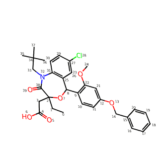 CCC1(CC(=O)O)OC(c2ccc(OCc3ccccc3)cc2OC)c2cc(Cl)ccc2N(CC(C)(C)C)C1=O